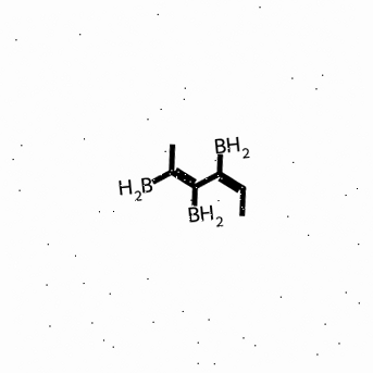 BC(=C/C)/C(B)=C(/B)C